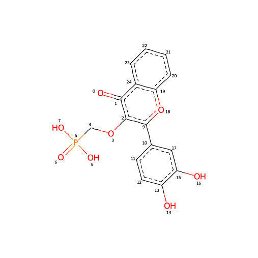 O=c1c(OCP(=O)(O)O)c(-c2ccc(O)c(O)c2)oc2ccccc12